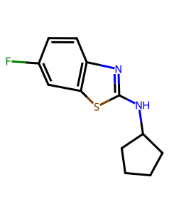 Fc1ccc2nc(NC3CCCC3)sc2c1